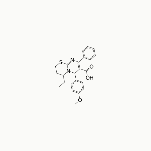 CCC1CCSC2=NC(c3ccccc3)=C(C(=O)O)C(c3ccc(OC)cc3)N21